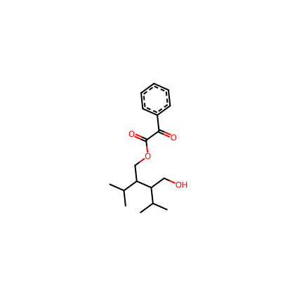 CC(C)C(CO)C(COC(=O)C(=O)c1ccccc1)C(C)C